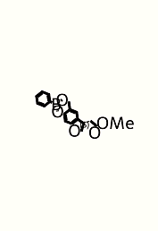 COC(=O)C[C@@H]1COc2cc3c(cc21)COB(c1ccccc1)O3